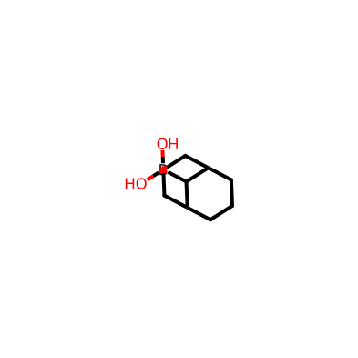 OB(O)C1C2CCCC1CCC2